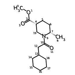 COC(=O)[C@@H]1CC[C@H](C)N(C(=O)CC2CCCCC2)C1